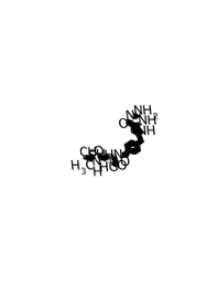 CCC(C)(C)NC(=O)CC[C@H](NC(=O)c1ccc(Cc2cc3c(=O)nc(N)[nH]c3[nH]2)cc1)C(=O)O